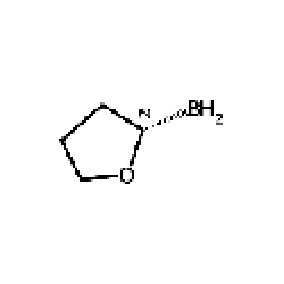 B[C@H]1CCCO1